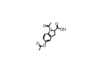 CC(=O)Oc1ccc2c(c1)CC(C(=O)O)N2C(C)=O